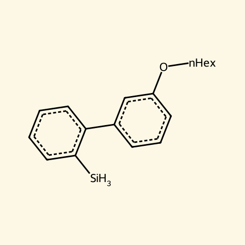 CCCCCCOc1cccc(-c2ccccc2[SiH3])c1